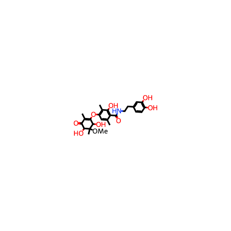 COC1(C)C(O)C(=O)C(C)=C(Oc2cc(C)c(C(=O)NCCc3ccc(O)c(O)c3)c(O)c2C)C1O